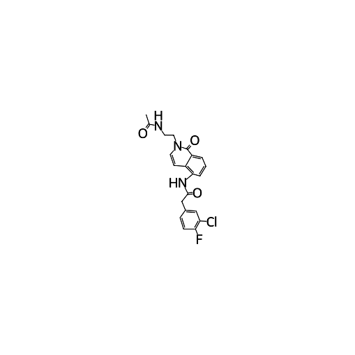 CC(=O)NCCn1ccc2c(NC(=O)Cc3ccc(F)c(Cl)c3)cccc2c1=O